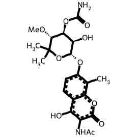 CO[C@@H]1[C@@H](OC(N)=O)[C@@H](O)[C@H](Oc2ccc3c(O)c(NC(C)=O)c(=O)oc3c2C)OC1(C)C